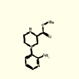 CC(C)(C)OC(=O)C1CN(c2cccnc2N)CCN1